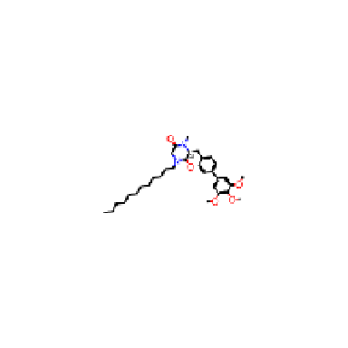 CCCCCCCCCCCCN1CC(=O)N(C)[C@@H](Cc2ccc(-c3cc(OC)c(OC)c(OC)c3)cc2)C1=O